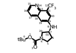 CC(C)(C)OC(=O)N1CC[C@H](Nc2cc(C(F)(F)F)c3ncccc3c2)C1